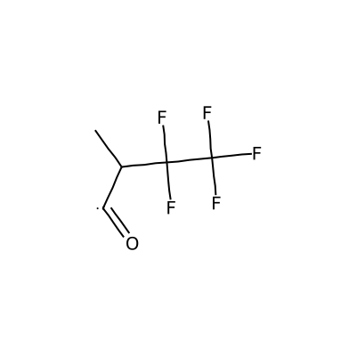 CC([C]=O)C(F)(F)C(F)(F)F